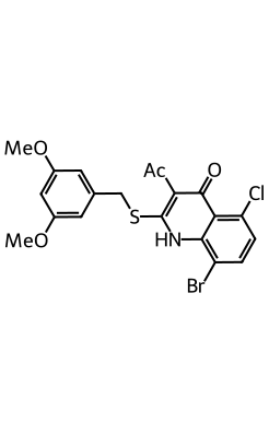 COc1cc(CSc2[nH]c3c(Br)ccc(Cl)c3c(=O)c2C(C)=O)cc(OC)c1